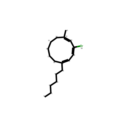 CCCCCC/C1=C/C=C(Br)\C=C(\C)CCCCC1